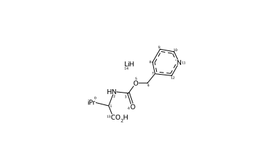 CC(C)C(NC(=O)OCc1cccnc1)C(=O)O.[LiH]